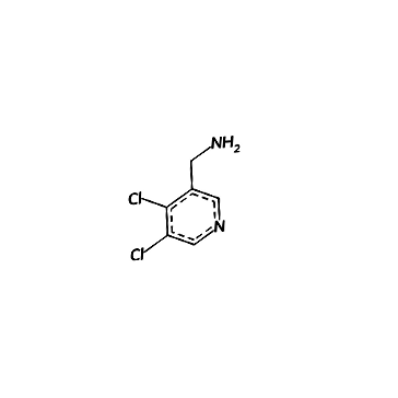 NCc1cncc(Cl)c1Cl